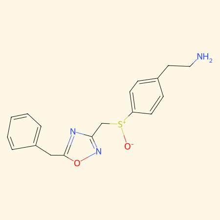 NCCc1ccc([S+]([O-])Cc2noc(Cc3ccccc3)n2)cc1